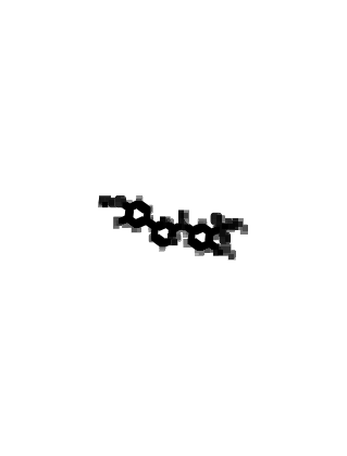 COc1ccc(-c2ccnc(Nc3ccc(N)c(S(N)(=O)=O)c3)n2)cc1F